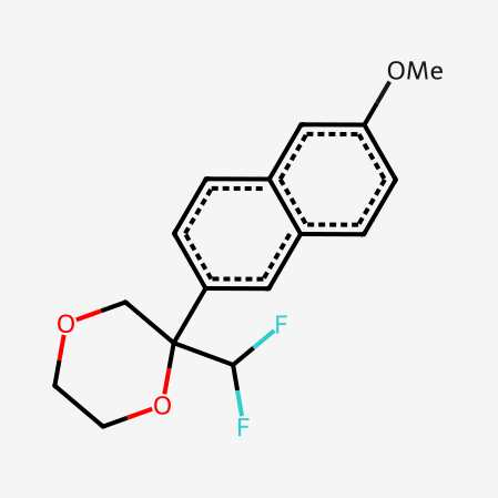 COc1ccc2cc(C3(C(F)F)COCCO3)ccc2c1